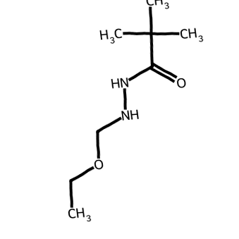 CCOCNNC(=O)C(C)(C)C